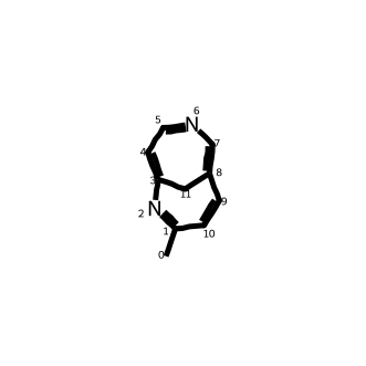 CC1=NC2=CC=NC=C(C=C1)C2